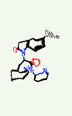 COc1ccc2c(c1)CC(=O)N2C(CC1CCCC1)C(=O)Nc1ccccn1